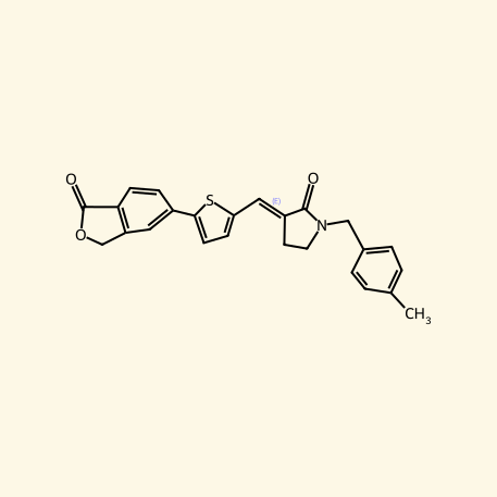 Cc1ccc(CN2CC/C(=C\c3ccc(-c4ccc5c(c4)COC5=O)s3)C2=O)cc1